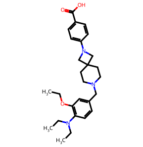 CCOc1cc(CN2CCC3(CC2)CN(c2ccc(C(=O)O)cc2)C3)ccc1N(CC)CC